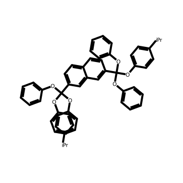 CC(C)c1ccc(OC(Oc2ccccc2)(Oc2ccccc2)c2ccc3ccc(C(Oc4ccccc4)(Oc4ccccc4)Oc4ccc(C(C)C)cc4)cc3c2)cc1